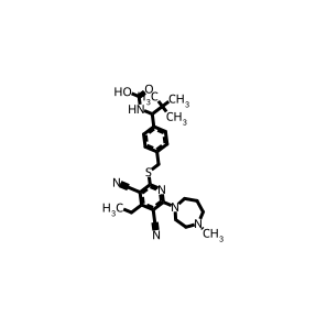 CCc1c(C#N)c(SCc2ccc(C(NC(=O)O)C(C)(C)C)cc2)nc(N2CCCN(C)CC2)c1C#N